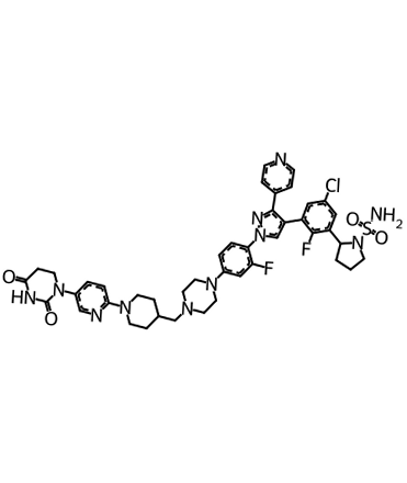 NS(=O)(=O)N1CCCC1c1cc(Cl)cc(-c2cn(-c3ccc(N4CCN(CC5CCN(c6ccc(N7CCC(=O)NC7=O)cn6)CC5)CC4)cc3F)nc2-c2ccncc2)c1F